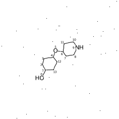 OC1CCC(OC2CCNCC2)CC1